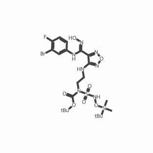 CC(C)(C)OC(=O)N(CCNc1nonc1/C(=N/O)Nc1ccc(F)c(Br)c1)S(=O)(=O)NO[Si](C)(C)C(C)(C)C